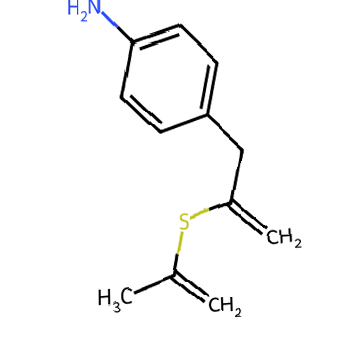 C=C(C)SC(=C)Cc1ccc(N)cc1